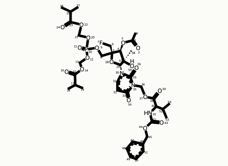 CC(=O)O[C@@H]1[C@@](CF)(COP(=O)(OCOC(=O)C(C)C)OCOC(=O)C(C)C)O[C@@H](n2ccc(=O)n(COC(=O)C(NC(=O)OCc3ccccc3)C(C)C)c2=O)[C@]1(C)O